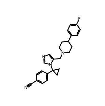 N#Cc1ccc(C2(n3cncc3CN3CCC(c4ccc(F)cc4)CC3)CC2)cc1